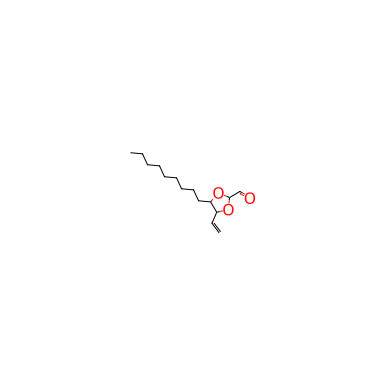 C=CC1OC(C=O)OC1CCCCCCCCC